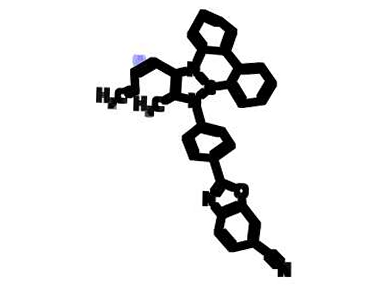 C=C/C=C\C1=C(C)N(c2ccc(-c3nc4ccc(C#N)cc4o3)cc2)B2c3ccccc3-c3ccccc3N21